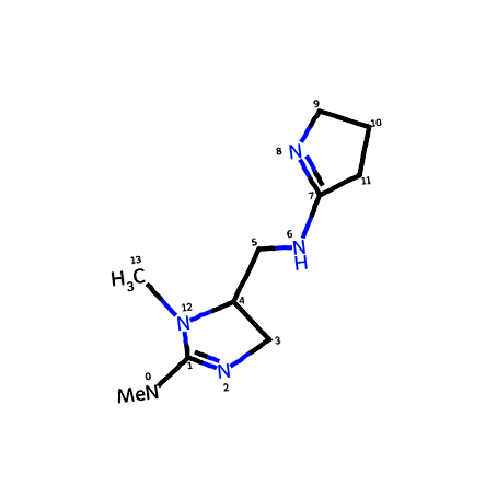 CNC1=NCC(CNC2=NCCC2)N1C